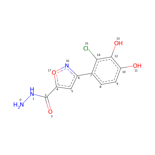 NNC(=O)c1cc(-c2ccc(O)c(O)c2Cl)no1